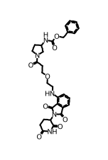 O=C1CCC(N2C(=O)c3cccc(NCCOCCC(=O)N4CCC(NC(=O)OCc5ccccc5)C4)c3C2=O)C(=O)N1